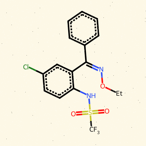 CCON=C(c1ccccc1)c1cc(Cl)ccc1NS(=O)(=O)C(F)(F)F